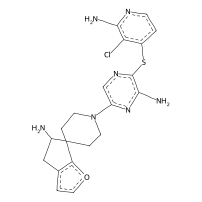 Nc1nc(N2CCC3(CC2)c2occc2CC3N)cnc1Sc1ccnc(N)c1Cl